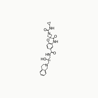 O=C(NC[C@H](O)CN1CCc2ccccc2C1)c1ccc2c(c1)NC(=O)C1(CN(C(=O)NC3CC3)C1)O2